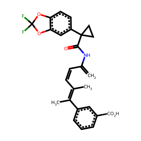 C=C(/C=C\C(C)=C(/C)c1cccc(C(=O)O)c1)NC(=O)C1(c2ccc3c(c2)OC(F)(F)O3)CC1